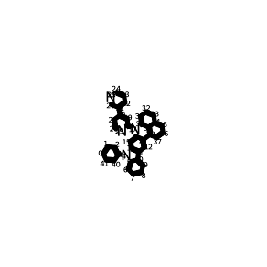 c1ccc(-n2c3ccccc3c3cc4c(cc32)N(c2cc(-c3cccnc3)ccn2)c2cccc3cccc-4c23)cc1